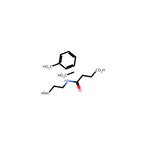 CC(=O)O.CCCCCCCCCCCCNC(=O)CCC(=O)O.O=C(O)c1ccccc1